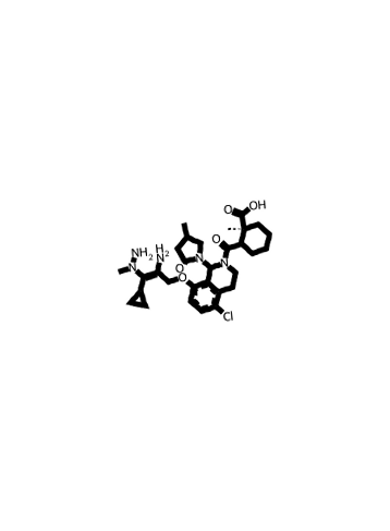 CC1CC(=O)N(C2c3c(OC/C(N)=C(\C4CC4)N(C)N)ccc(Cl)c3CCN2C(=O)C2CCCC[C@]2(C)C(=O)O)C1